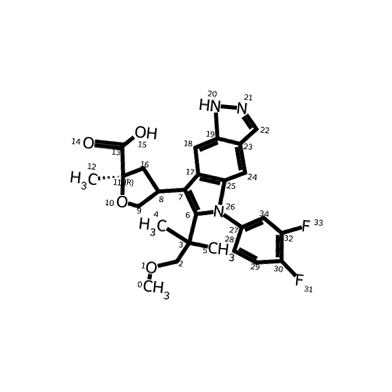 COCC(C)(C)c1c(C2CO[C@@](C)(C(=O)O)C2)c2cc3[nH]ncc3cc2n1-c1ccc(F)c(F)c1